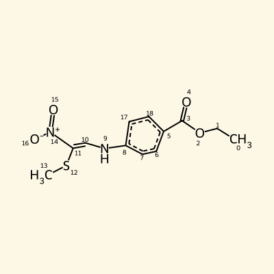 CCOC(=O)c1ccc(NC=C(SC)[N+](=O)[O-])cc1